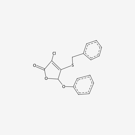 O=C1OC(Oc2ccccc2)C(SCc2ccccc2)=C1Cl